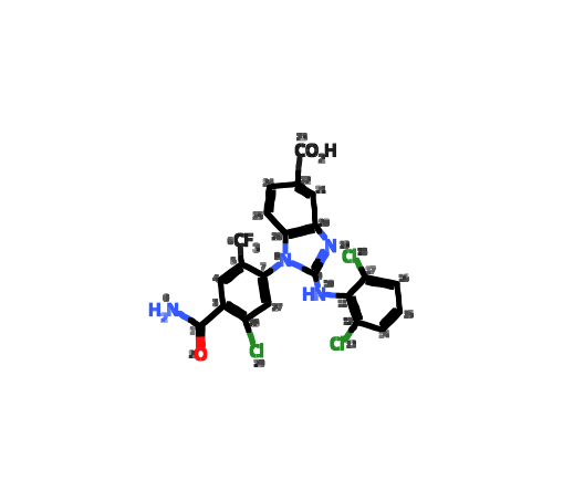 NC(=O)c1cc(C(F)(F)F)c(-n2c(Nc3c(Cl)cccc3Cl)nc3cc(C(=O)O)ccc32)cc1Cl